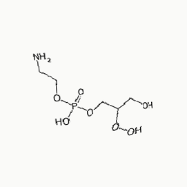 NCCOP(=O)(O)OCC(CO)OO